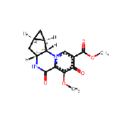 COC(=O)c1cn2c(c(OC)c1=O)C(=O)N[C@@H]1C[C@H]3C[C@H]3[C@@H]12